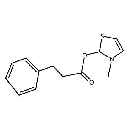 CN1C=CSC1OC(=O)CCc1ccccc1